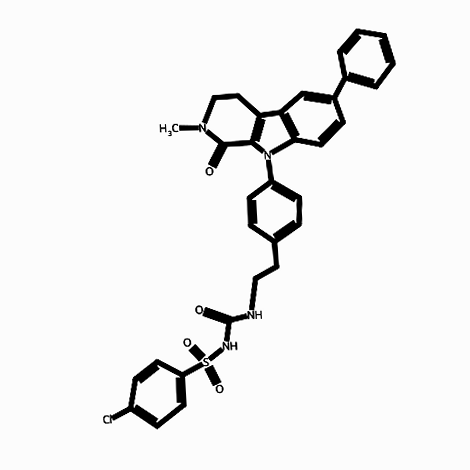 CN1CCc2c(n(-c3ccc(CCNC(=O)NS(=O)(=O)c4ccc(Cl)cc4)cc3)c3ccc(-c4ccccc4)cc23)C1=O